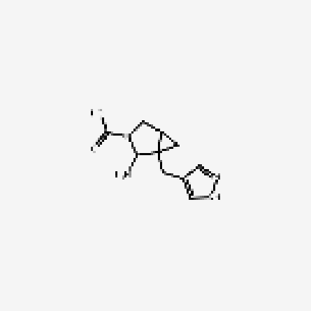 NC1N(C(=O)O)CC2CC21Cc1cn[nH]c1